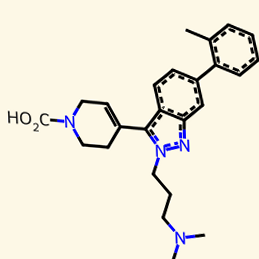 Cc1ccccc1-c1ccc2c(C3=CCN(C(=O)O)CC3)n(CCCN(C)C)nc2c1